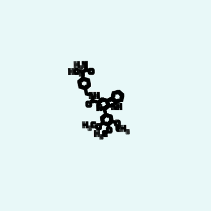 COc1cc(-c2nc(C(=O)NCc3ccc(N(O)C(N)=O)cc3)cc3c2[nH]c2ccccc23)cc(OC)c1OC